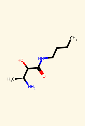 CCCCNC(=O)C(O)[C@H](C)N